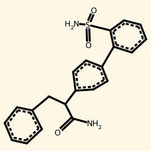 NC(=O)C(Cc1ccccc1)c1ccc(-c2ccccc2S(N)(=O)=O)cc1